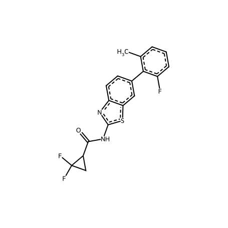 Cc1cccc(F)c1-c1ccc2nc(NC(=O)C3CC3(F)F)sc2c1